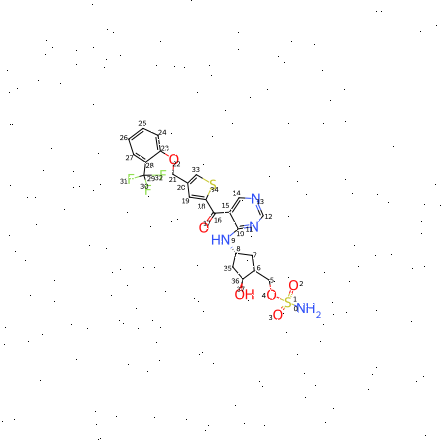 NS(=O)(=O)OCC1C[C@@H](Nc2ncncc2C(=O)c2cc(COc3ccccc3C(F)(F)F)cs2)C[C@@H]1O